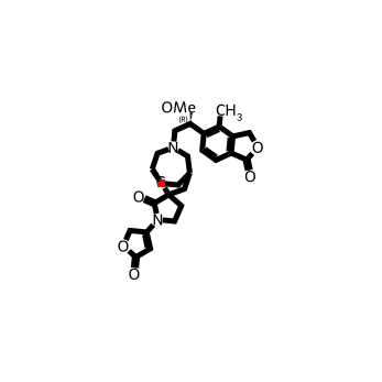 CO[C@@H](CN1CC2CCC(C1)CC1(CCN(C3=CC(=O)OC3)C1=O)C2)c1ccc2c(c1C)COC2=O